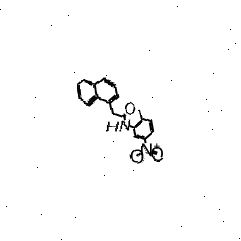 Cc1ccc([N+](=O)[O-])cc1NC(=O)Cc1cccc2ccccc12